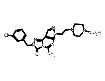 Nc1nc2c(cnn2CCN2CCN(C(=O)O)CC2)c2nn(Cc3cccc(Cl)c3)c(=O)n12